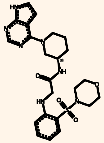 O=C(CNc1ccccc1S(=O)(=O)N1CCOCC1)N[C@@H]1CCCN(c2ncnc3[nH]ccc23)C1